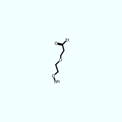 CCCOCCOCCC(=O)CC